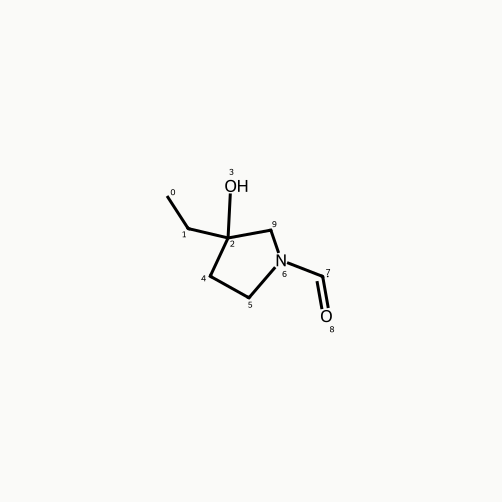 CCC1(O)CCN([C]=O)C1